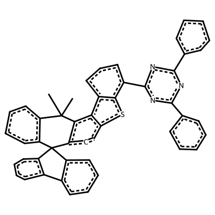 CC1(C)c2ccccc2C2(c3ccccc3-c3ccccc32)c2ccc3sc4c(-c5nc(-c6ccccc6)nc(-c6ccccc6)n5)cccc4c3c21